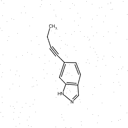 CCC#Cc1ccc2cn[nH]c2c1